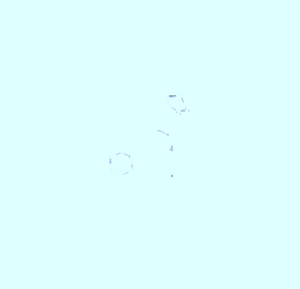 O=C(Cn1cncn1)NC1Cc2cccc(C(=O)O)c2OB1O